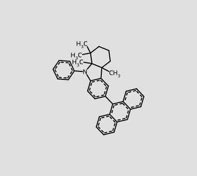 CC1(C)CCCC2(C)c3cc(-c4c5ccccc5cc5ccccc45)ccc3N(c3ccccc3)C12C